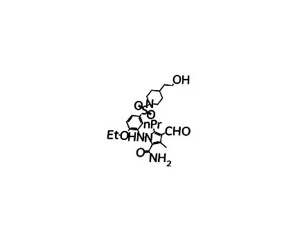 CCCc1c(C=O)c(C)c(C(N)=O)n1Nc1cc(S(=O)(=O)N2CCC(CCO)CC2)ccc1OCC